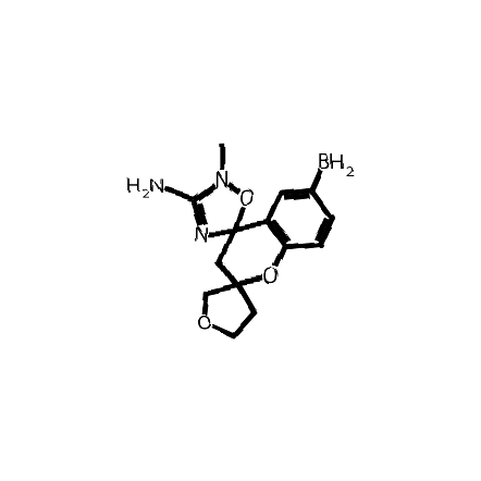 Bc1ccc2c(c1)C1(CC3(CCOC3)O2)N=C(N)N(C)O1